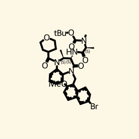 COc1ccc2cc(Br)ccc2c1CN1C(=O)[C@@H](NC(=O)[C@H](C)N(C)C(=O)OC(C)(C)C)[C@H](C)N(C(=O)C2CCOCC2)c2ccccc21